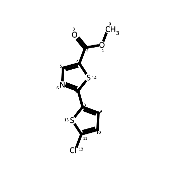 COC(=O)c1cnc(-c2ccc(Cl)s2)s1